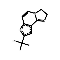 CCC(C)(C)c1cc2c(o1)C=CN1CCN=C21